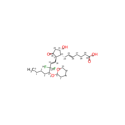 CCCCC(OC1CCCCO1)C(F)(F)C=C[C@H]1C(=O)C[C@H](O)[C@@H]1CC=CCCCC(=O)O